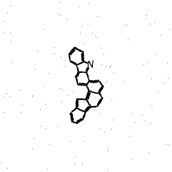 C1=c2ccccc2=c2ccc3ccc4c5c(ccc4c3c21)-c1ccccc1N=5